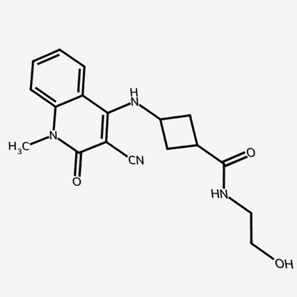 Cn1c(=O)c(C#N)c(NC2CC(C(=O)NCCO)C2)c2ccccc21